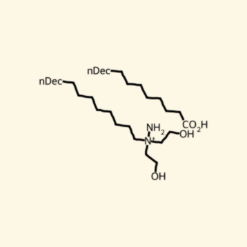 CCCCCCCCCCCCCCCCCC(=O)O.CCCCCCCCCCCCCCCCCC[N+](N)(CCO)CCO